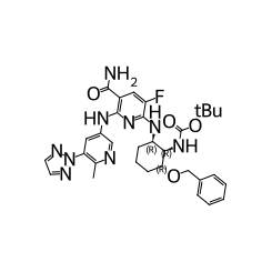 Cc1ncc(Nc2nc(N[C@@H]3CCC[C@@H](OCc4ccccc4)[C@@H]3NC(=O)OC(C)(C)C)c(F)cc2C(N)=O)cc1-n1nccn1